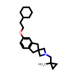 O=C(O)C1(CN2CC3(Cc4ccc(OCCC5CCCCC5)cc4C3)C2)CC1